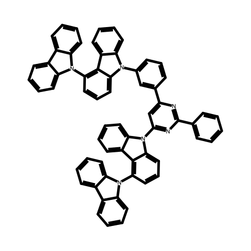 c1ccc(-c2nc(-c3cccc(-n4c5ccccc5c5c(-n6c7ccccc7c7ccccc76)cccc54)c3)cc(-n3c4ccccc4c4c(-n5c6ccccc6c6ccccc65)cccc43)n2)cc1